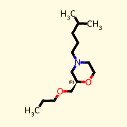 CCCOC[C@H]1CN(CCCC(C)C)CCO1